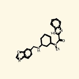 CCN(C(=O)c1nc2ccccc2[nH]1)C1CCCC(NCc2ccc3ncoc3c2)C1